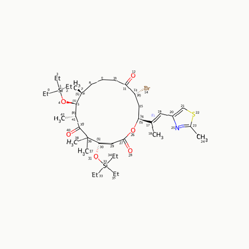 CC[Si](CC)(CC)O[C@H]1[C@@H](C)CCCC(=O)[C@H](Br)C[C@@H](/C(C)=C/c2csc(C)n2)OC(=O)C[C@H](O[Si](CC)(CC)CC)C(C)(C)C(=O)[C@@H]1C